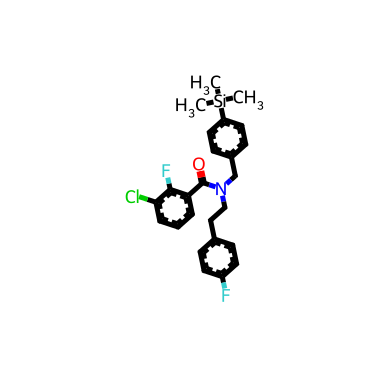 C[Si](C)(C)c1ccc(CN(CCc2ccc(F)cc2)C(=O)c2cccc(Cl)c2F)cc1